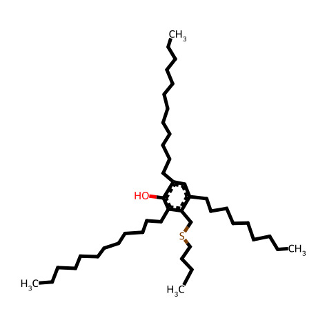 CCCCCCCCCCCCc1cc(CCCCCCCCC)c(CSCCCC)c(CCCCCCCCCCCC)c1O